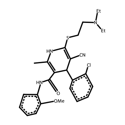 CCN(CC)CCSC1=C(C#N)C(c2ccccc2Cl)C(C(=O)Nc2ccccc2OC)=C(C)N1